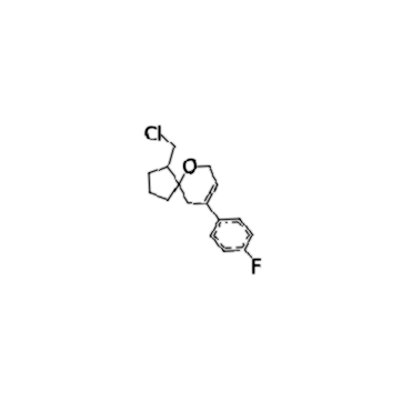 Fc1ccc(C2=CCOC3(CCCC3CCl)C2)cc1